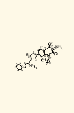 Cc1c(N2C[C@H]([C@@H](N)COc3ccccc3)[C@H](F)C2)ccc2c(=O)n(N)c(=O)n(C3CC3)c12